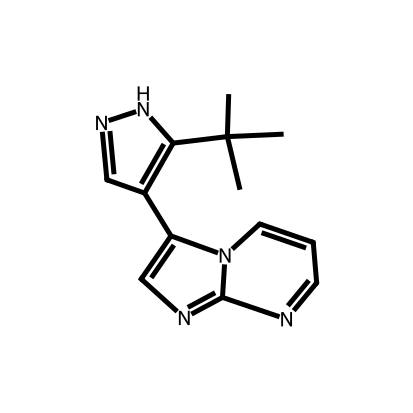 CC(C)(C)c1[nH]ncc1-c1cnc2ncccn12